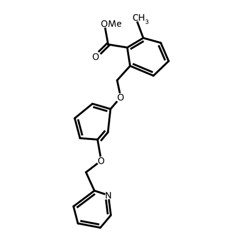 COC(=O)c1c(C)cccc1COc1cccc(OCc2ccccn2)c1